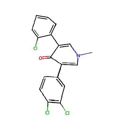 Cn1cc(-c2ccc(Cl)c(Cl)c2)c(=O)c(-c2ccccc2Cl)c1